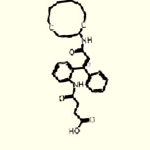 O=C(O)CCC(=O)Nc1ccccc1/C(=C\C(=O)NC1CCCCCCCCCC1)c1ccccc1